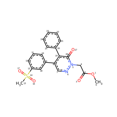 COC(=O)Cn1ncc(-c2cccc(S(C)(=O)=O)c2)c(-c2ccccc2)c1=O